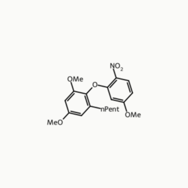 CCCCCc1cc(OC)cc(OC)c1Oc1cc(OC)ccc1[N+](=O)[O-]